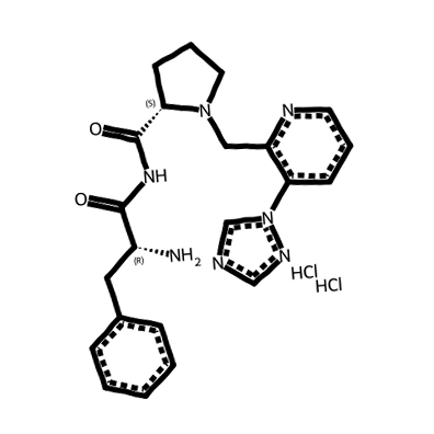 Cl.Cl.N[C@H](Cc1ccccc1)C(=O)NC(=O)[C@@H]1CCCN1Cc1ncccc1-n1cncn1